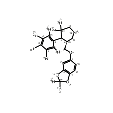 [2H]c1c([2H])c(C2[C@H](COc3ccc4c(c3)OC([2H])([2H])O4)CNCC2([2H])[2H])c([2H])c([2H])c1F